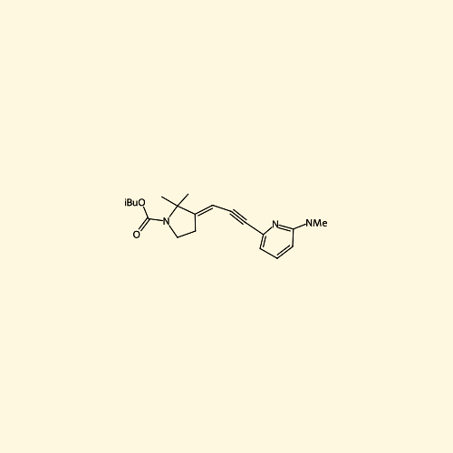 CNc1cccc(C#C/C=C2\CCN(C(=O)OCC(C)C)C2(C)C)n1